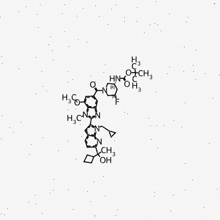 COc1cc(C(=O)N2C[C@H](F)C[C@@H](NC(=O)OC(C)(C)C)C2)cc2nc(-c3cc4ccc(C(C)(O)C5CCC5)nc4n3CC3CC3)n(C)c12